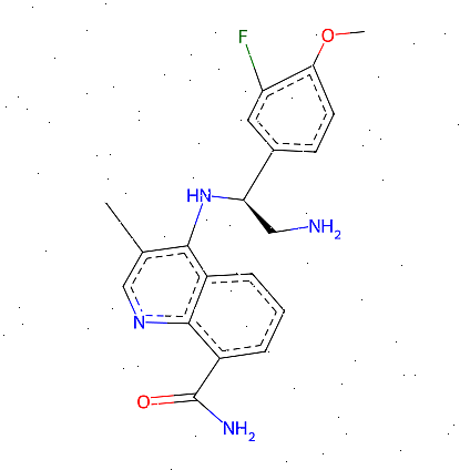 COc1ccc([C@@H](CN)Nc2c(C)cnc3c(C(N)=O)cccc23)cc1F